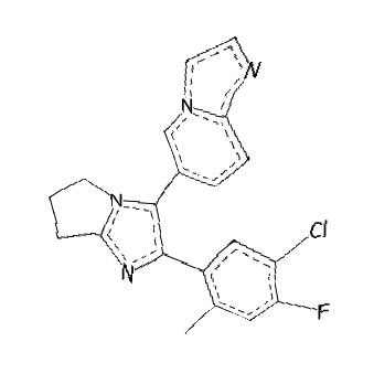 Cc1cc(F)c(Cl)cc1-c1nc2n(c1-c1ccc3nccn3c1)CCC2